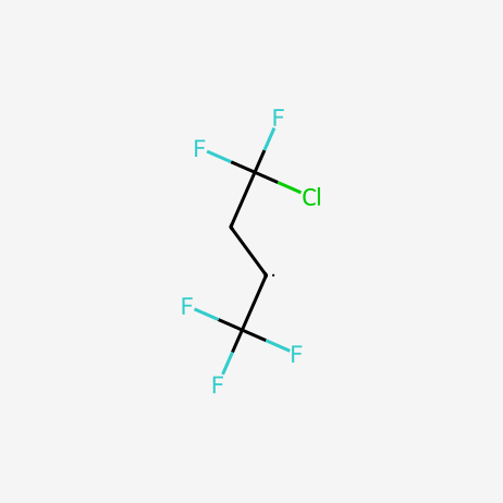 FC(F)(F)[CH]CC(F)(F)Cl